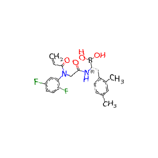 C=CC(=O)N(CC(=O)N[C@@H](Cc1ccc(C)cc1C)B(O)O)c1cc(F)ccc1F